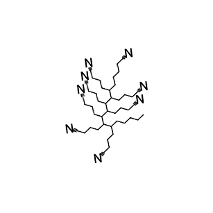 CCCCCC(CCCC#N)C(CCCC#N)C(CCCC#N)C(CCCC#N)C(CCCC#N)C(CCCC#N)C(CCCC#N)CCCCC#N